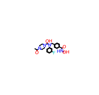 CC(=O)N1CCN(C(O)N(Cc2ccc(C(=O)NO)cc2)c2cccc(F)c2)CC1